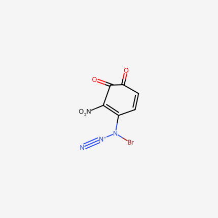 N#[N+]N(Br)C1=C([N+](=O)[O-])C(=O)C(=O)C=C1